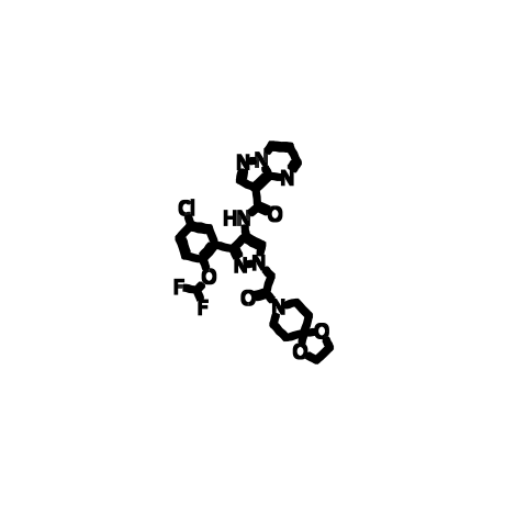 O=C(Nc1cn(CC(=O)N2CCC3(CC2)OCCO3)nc1-c1cc(Cl)ccc1OC(F)F)c1cnn2cccnc12